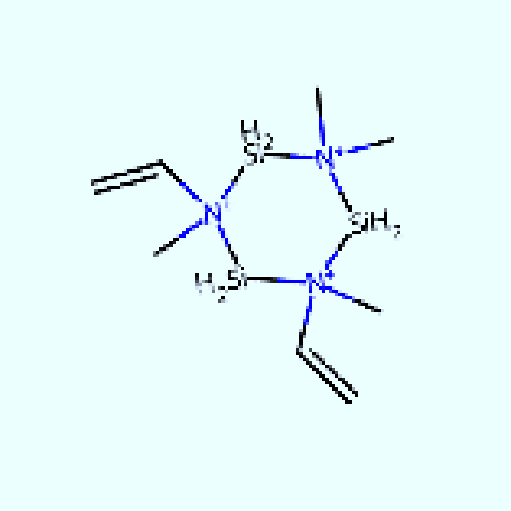 C=C[N+]1(C)[SiH2][N+](C)(C)[SiH2][N+](C)(C=C)[SiH2]1